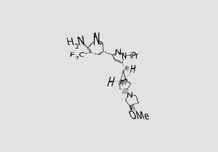 CO[C@@H]1CCN([C@@H]2C[C@@H]3[C@H](C2)[C@H]3c2cc(-c3cnc(N)c(C(F)(F)F)c3)nn2C(C)C)C1